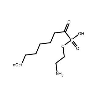 CCCCCCCCCCCCCC(=O)P(=O)(O)OCCN